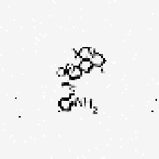 C=C(Sc1ccccc1N)c1cc2cc3c4c(c2oc1=O)C(C)(C)CCN4CC[C@H]3C